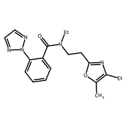 CCc1nc(CCN(CC)C(=O)c2ccccc2-n2nccn2)oc1C